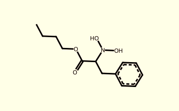 CCCCOC(=O)C(Cc1ccccc1)N(O)O